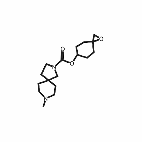 CN1CCC2(CC1)CCN(C(=O)OC1CCC3(CC1)CO3)C2